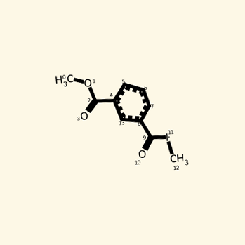 COC(=O)c1cccc(C(=O)[I]C)c1